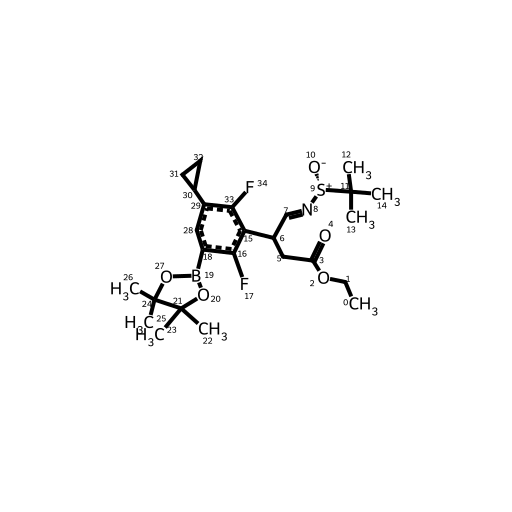 CCOC(=O)CC(/C=N/[S@+]([O-])C(C)(C)C)c1c(F)c(B2OC(C)(C)C(C)(C)O2)cc(C2CC2)c1F